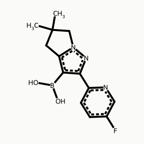 CC1(C)Cc2c(B(O)O)c(-c3ccc(F)cn3)nn2C1